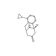 O=C1CC2Cc3c(C4CC4)cccc3[C@H](C1)N2